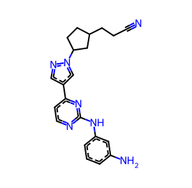 N#CCCC1CCC(n2cc(-c3ccnc(Nc4cccc(N)c4)n3)cn2)C1